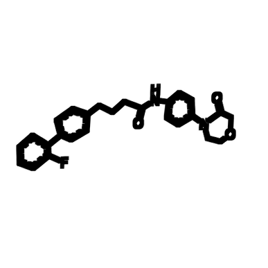 O=C(CCCc1ccc(-c2ccccc2F)cc1)Nc1ccc(N2CCOCC2=O)cc1